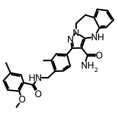 COc1ccc(C)cc1C(=O)NCc1ccc(-c2nn3c(c2C(N)=O)Nc2ccccc2CC3)cc1C